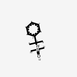 CC(C)(c1ccccc1)[SH](C)(C)=O